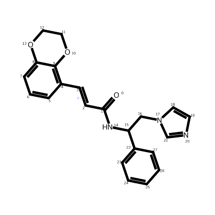 O=C(/C=C/c1cccc2c1OCCO2)NC(Cn1ccnc1)c1ccccc1